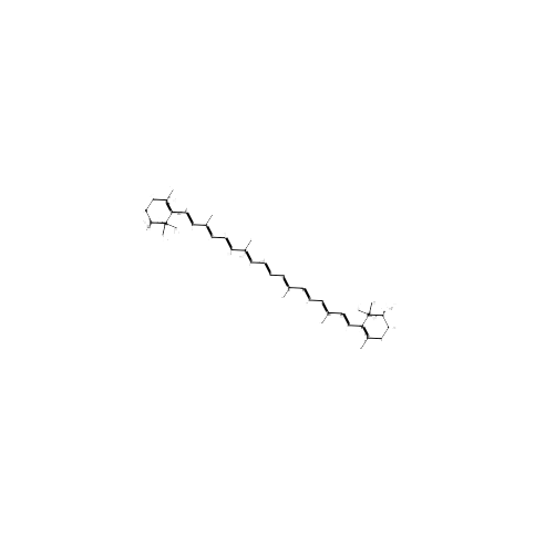 CC1=C(/C=C/C(C)=C/C=C/C(C)=C/C=C/C=C(C)/C=C/C=C(C)/C=C/C2=C(C)CCC(O)C2(C)C)C(C)(C)C(O)CC1